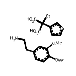 CCC(C(=O)O)(C(=O)O)c1ccsc1.COc1ccc(CCN)cc1OC